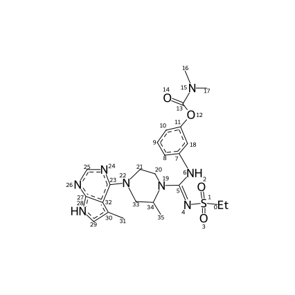 CCS(=O)(=O)N=C(Nc1cccc(OC(=O)N(C)C)c1)N1CCN(c2ncnc3[nH]cc(C)c23)CC1C